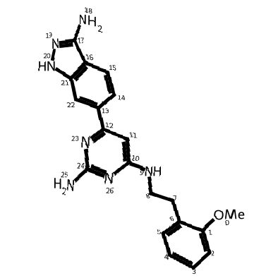 COc1ccccc1CCNc1cc(-c2ccc3c(N)n[nH]c3c2)nc(N)n1